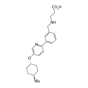 CC(C)(C)[C@H]1CC[C@H](Oc2ccc(-c3cccc(CNCCC(=O)O)c3)nc2)CC1